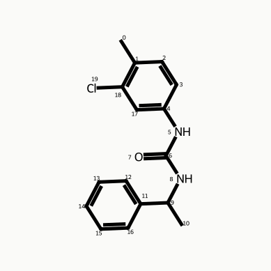 Cc1ccc(NC(=O)NC(C)c2ccccc2)cc1Cl